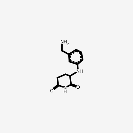 NCc1cccc(NC2CCC(=O)NC2=O)c1